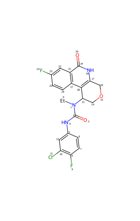 CCN(C(=O)Nc1ccc(F)c(Cl)c1)C1COCc2[nH]c(=O)c3cc(F)ccc3c21